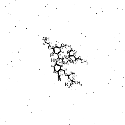 COC(=O)c1scnc1[N+]1([O-])CNC(C(Nc2ccc(C#N)c(CNC(=O)OC(C)(C)C)c2)c2cc(OC)cc(OCCO)c2F)=N1